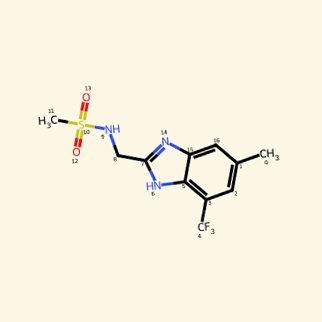 Cc1cc(C(F)(F)F)c2[nH]c(CNS(C)(=O)=O)nc2c1